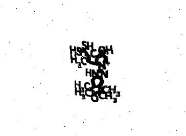 Cc1c(O)cc[n+](-c2nc3cc4c(cc3[nH]2)C(C)(C)C(=O)C4(C)C)c1CC(C)CC(S)S